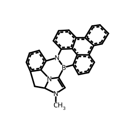 CN1C=C2B3c4cccc5c6ccccc6c6cccc(c6c45)N3c3cccc4c3N2C1C4